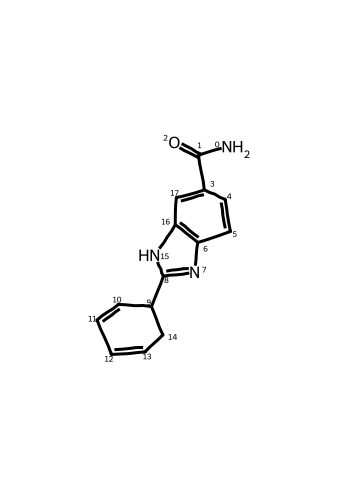 NC(=O)c1ccc2nc(C3C=CC=CC3)[nH]c2c1